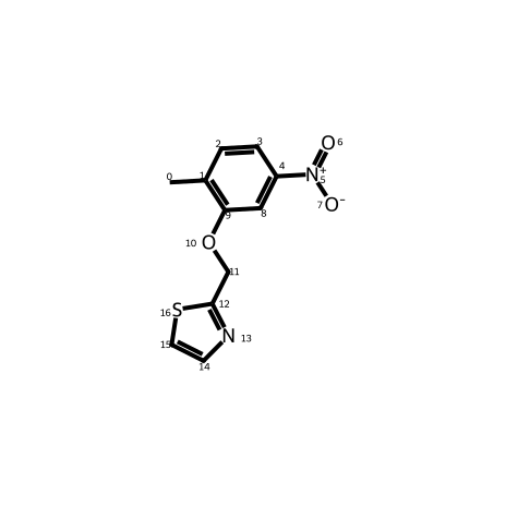 Cc1ccc([N+](=O)[O-])cc1OCc1nccs1